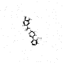 CCc1cc(C(=O)OC2CCC(c3ccccc3O)CC2)ccc1O